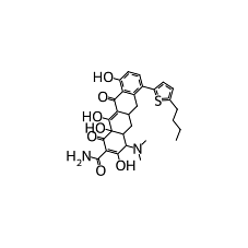 CCCCc1ccc(-c2ccc(O)c3c2CC2CC4C(N(C)C)C(O)=C(C(N)=O)C(=O)C4(O)C(O)=C2C3=O)s1